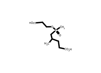 CCCCCCCCCCOP(C)(=O)CC(C)CCC(=O)O